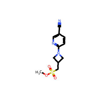 COS(=O)(=O)CC1CN(c2ccc(C#N)cn2)C1